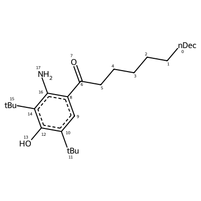 CCCCCCCCCCCCCCCC(=O)c1cc(C(C)(C)C)c(O)c(C(C)(C)C)c1N